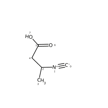 [C-]#[N+]C(C)CC(=O)O